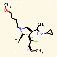 C=c1/c(=C(F)\C=C/C)c(C(C)NC2CC2)cn1CCCCOC